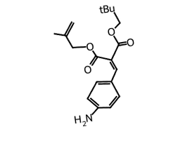 C=C(C)COC(=O)/C(=C\c1ccc(N)cc1)C(=O)OCC(C)(C)C